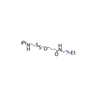 CC/C=C/CNC(=O)CCCOCSSCCNC(C)C